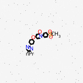 CCCc1cnc([C@H]2CC[C@@H](Oc3ccn(-c4ccc(S(C)(=O)=O)cc4)c(=O)c3)CC2)nc1